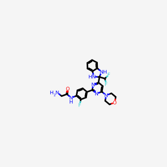 NCC(=O)Nc1ccc(-c2nc(N3CCOCC3)cc(C3(C(F)F)Nc4ccccc4N3)n2)cc1F